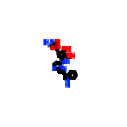 NS(=O)(=O)OC[C@H]1C[C@@H](Nc2ccnc3cc(-c4c[nH]c5ccccc45)nn23)[C@H](O)[C@@H]1O